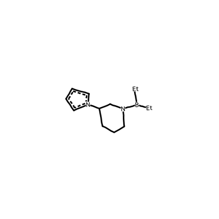 CCB(CC)N1CCCC(n2cccc2)C1